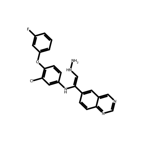 NNC=C(Nc1ccc(Oc2cccc(F)c2)c(Cl)c1)c1ccc2ncncc2c1